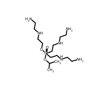 CC(C)[O][Ti](=[O])([CH2]CNCCN)([CH2]CNCCN)[O]CCNCCN